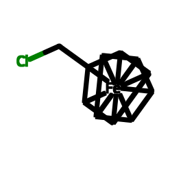 ClC[C]12[CH]3[CH]4[CH]5[CH]1[Fe]45321678[CH]2[CH]1[CH]6[CH]7[CH]28